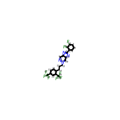 Fc1cccc(-c2nc3cnn(CCCc4ccc(C(F)(F)F)cc4C(F)(F)F)cc-3n2)c1F